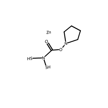 O=C(ON1CCCC1)N(S)S.[Zn]